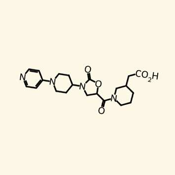 O=C(O)CC1CCCN(C(=O)C2CN(C3CCN(c4ccncc4)CC3)C(=O)O2)C1